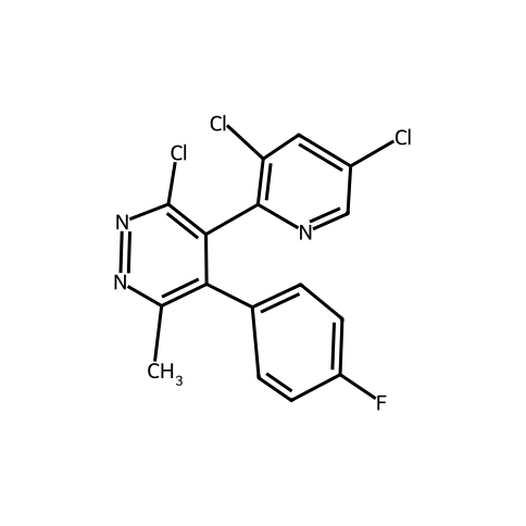 Cc1nnc(Cl)c(-c2ncc(Cl)cc2Cl)c1-c1ccc(F)cc1